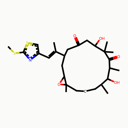 CSc1nc(C=C(C)C2CC(=O)CC(O)C(C)(C)C(=O)C(C)C(O)C(C)CCCC3(C)OC3C2)cs1